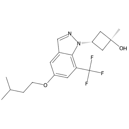 CC(C)CCOc1cc(C(F)(F)F)c2c(cnn2[C@H]2C[C@](C)(O)C2)c1